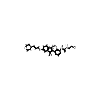 CCC1C(c2cccc(NC(=O)NCCCl)c2)=C(N)c2ccc(OCCCN3CCOCC3)cc21